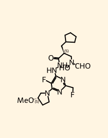 CO[C@H]1CCN(c2nc(CF)nc(NNC(=O)[C@@H](CC3CCCC3)CN(O)C=O)c2F)C1